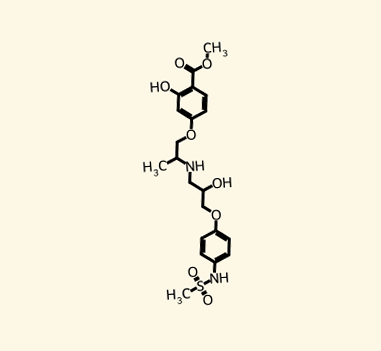 COC(=O)c1ccc(OCC(C)NCC(O)COc2ccc(NS(C)(=O)=O)cc2)cc1O